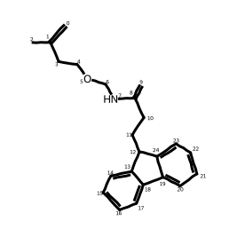 C=C(C)CCOCNC(=C)CCC1c2ccccc2-c2ccccc21